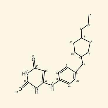 CCCC1CCC(Cc2ccc(Nc3cc(=O)[nH]c(=O)[nH]3)cc2)CC1